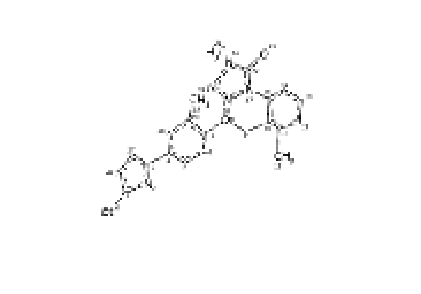 CCc1nc(-c2ccc(OCc3c(C)cccc3-n3nnn(C)c3=O)c(C)c2)cs1